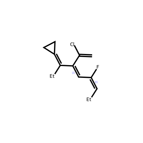 C=C(Cl)/C(=C\C(F)=C/CC)C(CC)=C1CC1